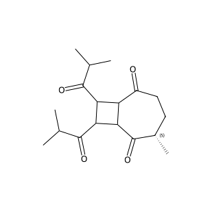 CC(C)C(=O)C1C2C(=O)CC[C@H](C)C(=O)C2C1C(=O)C(C)C